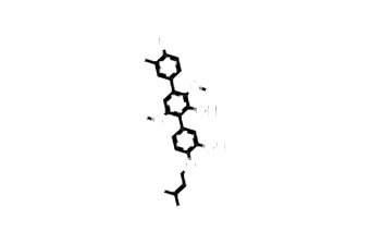 COc1cc(-c2ccc(F)c(C)c2)c(OC)c(O)c1-c1ccc(OCC=C(C)C)c(O)c1